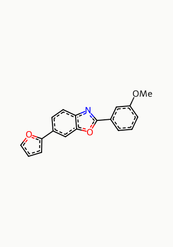 COc1cccc(-c2nc3ccc(-c4ccco4)cc3o2)c1